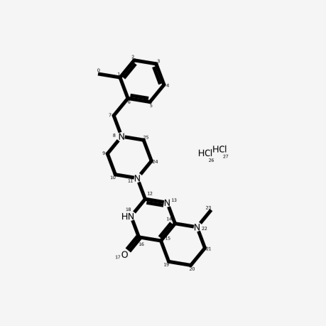 Cc1ccccc1CN1CCN(c2nc3c(c(=O)[nH]2)CCCN3C)CC1.Cl.Cl